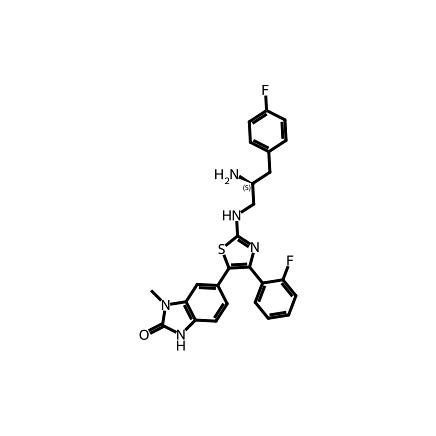 Cn1c(=O)[nH]c2ccc(-c3sc(NC[C@@H](N)Cc4ccc(F)cc4)nc3-c3ccccc3F)cc21